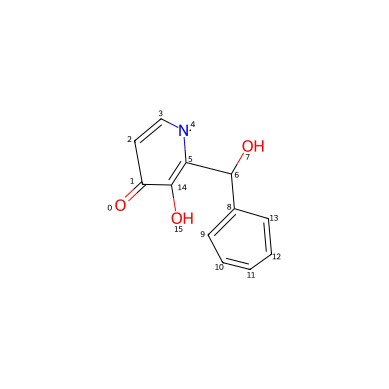 O=C1C=C[N]C(C(O)c2ccccc2)=C1O